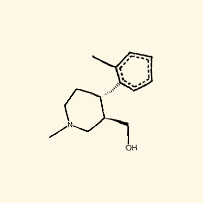 Cc1ccccc1[C@H]1CCN(C)C[C@@H]1CO